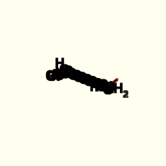 CCCCCCCCCCCC(=O)N[C@@H](CCCCNC(=O)CCOCCOCCOCCOCCOCCOCCOCCOCCOCCOCCOCCOCCCC(=O)CCN1C(=O)CC(SCCNC(=O)CN2CCN(CCCC(=O)C[C@@H](C)C(C)=O)CC2)C1=O)C(N)=O